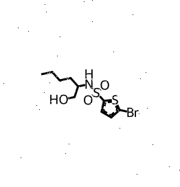 CCCCC(CO)NS(=O)(=O)c1ccc(Br)s1